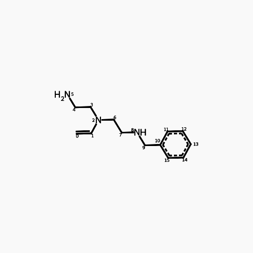 C=CN(CCN)CCNCc1ccccc1